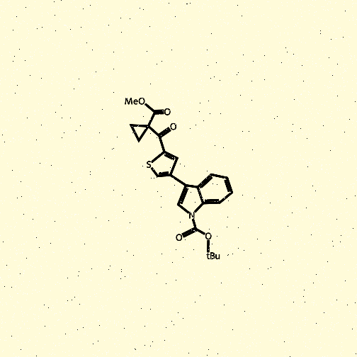 COC(=O)C1(C(=O)c2cc(-c3cn(C(=O)OC(C)(C)C)c4ccccc34)cs2)CC1